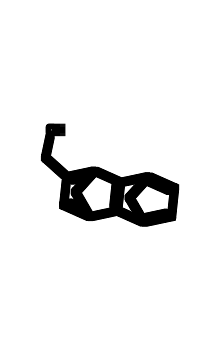 OCC1=C2CC(=C1)C1=C2C2=CC=C1C2